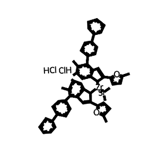 Cc1ccc(C2=Cc3c(cc(C)c(C)c3-c3ccc(-c4ccccc4)cc3)[CH]2[Zr]([CH]2C(c3ccc(C)o3)=Cc3c2cc(C)c(C)c3-c2ccc(-c3ccccc3)cc2)=[Si](C)C)o1.Cl.Cl